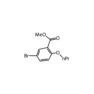 CCCOc1ccc(Br)cc1C(=O)OC